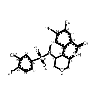 CN(C1COCc2[nH]c(=O)c3cc(F)c(F)cc3c21)S(=O)(=O)c1ccc(F)c(Cl)c1